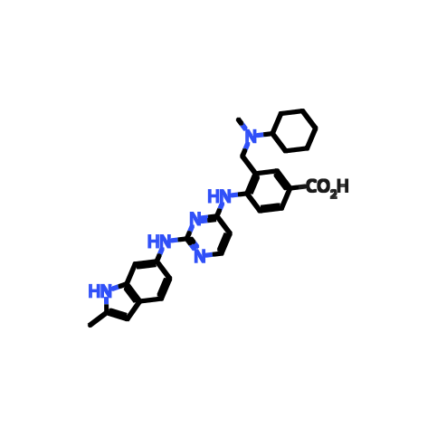 Cc1cc2ccc(Nc3nccc(Nc4ccc(C(=O)O)cc4CN(C)C4CCCCC4)n3)cc2[nH]1